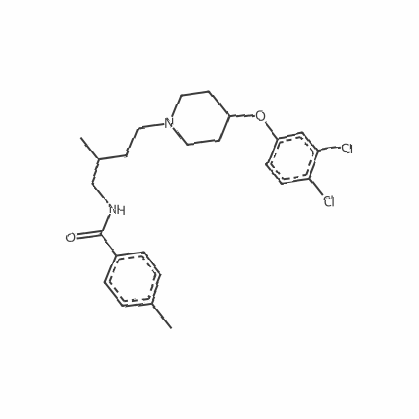 Cc1ccc(C(=O)NCC(C)CCN2CCC(Oc3ccc(Cl)c(Cl)c3)CC2)cc1